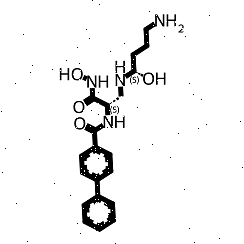 NCCC[C@H](O)NC[C@H](NC(=O)c1ccc(-c2ccccc2)cc1)C(=O)NO